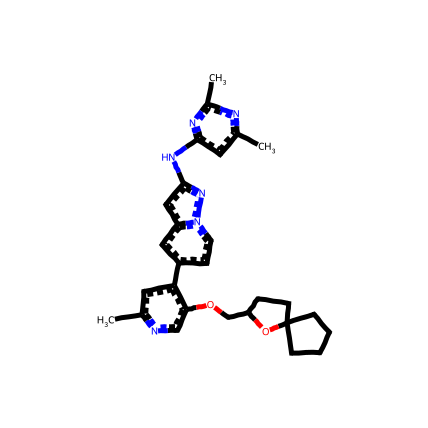 Cc1cc(-c2ccn3nc(Nc4cc(C)nc(C)n4)cc3c2)c(OCC2CCC3(CCCC3)O2)cn1